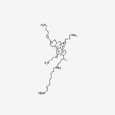 CCCCCCCCCCCCCCCCCCNCCCC(C)C1CC[C@H]2C3[C@H](OCCCN)CC4C[C@H](OCCCN)CCC4(C)[C@H]3C[C@H](OCCCN)C12C